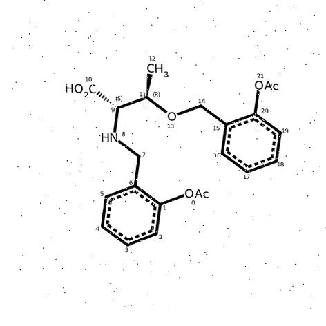 CC(=O)Oc1ccccc1CN[C@H](C(=O)O)[C@@H](C)OCc1ccccc1OC(C)=O